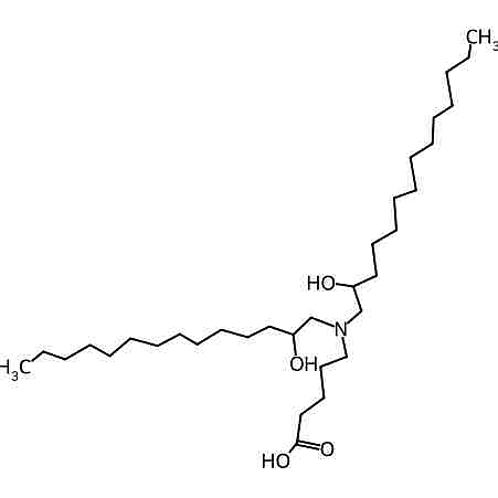 CCCCCCCCCCCCC(O)CN(CCCCC(=O)O)CC(O)CCCCCCCCCCCC